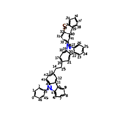 c1ccc(-n2c3ccccc3c3cc(CCc4ccc5c(c4)c4ccccc4n5-c4ccc5sc6ccccc6c5c4)ccc32)cc1